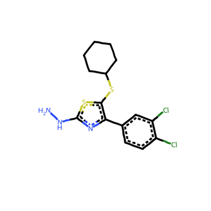 NNc1nc(-c2ccc(Cl)c(Cl)c2)c(SC2CCCCC2)s1